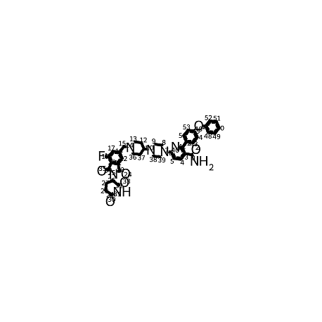 NC(=O)c1ccc(N2CCN(C3CCN(Cc4cc(F)c5c(c4)C(=O)N(C4CCC(=O)NC4=O)C5=O)CC3)CC2)nc1-c1ccc(Oc2ccccc2)cc1